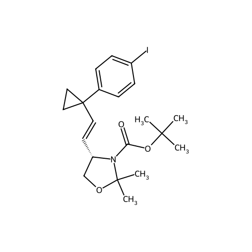 CC(C)(C)OC(=O)N1[C@@H](C=CC2(c3ccc(I)cc3)CC2)COC1(C)C